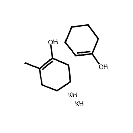 CC1=C(O)CCCC1.OC1=CCCCC1.[KH].[KH]